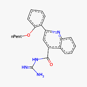 CCCCCOc1ccccc1-c1cc(C(=O)NC(=N)N)c2ccccc2n1